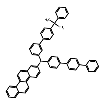 CC(C)(c1ccccc1)c1ccc(-c2cccc(N(c3ccc(-c4ccc(-c5ccccc5)cc4)cc3)c3ccc4c(ccc5c6ccccc6ccc45)c3)c2)cc1